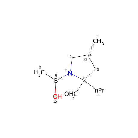 CCCC1(C=O)C[C@@H](C)CN1B(C)O